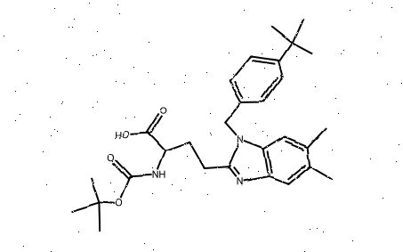 Cc1cc2nc(CCC(NC(=O)OC(C)(C)C)C(=O)O)n(Cc3ccc(C(C)(C)C)cc3)c2cc1C